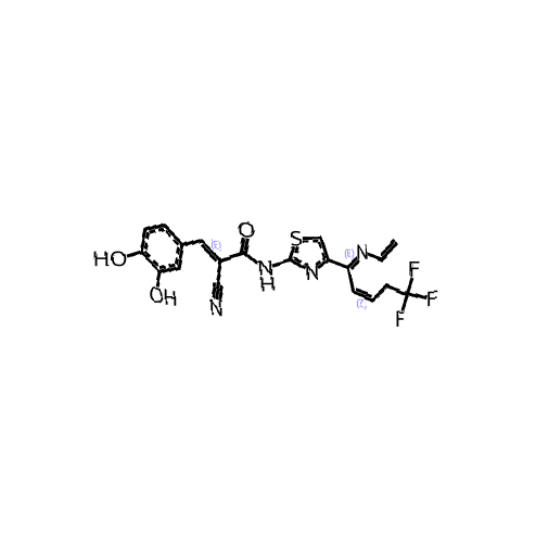 C=C/N=C(\C=C/CC(F)(F)F)c1csc(NC(=O)/C(C#N)=C/c2ccc(O)c(O)c2)n1